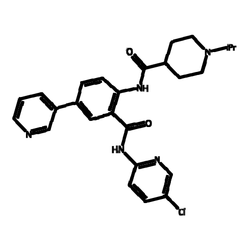 CC(C)N1CCC(C(=O)Nc2ccc(-c3cccnc3)cc2C(=O)Nc2ccc(Cl)cn2)CC1